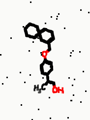 CC(CO)C1C=CC(OCC2=CCCC3(CCCCC3)C2)=CC1